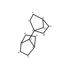 C1CC2([C]3C4CCC3CC4)CCC1C2